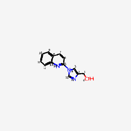 OCc1cn(-c2ccc3ccccc3n2)cn1